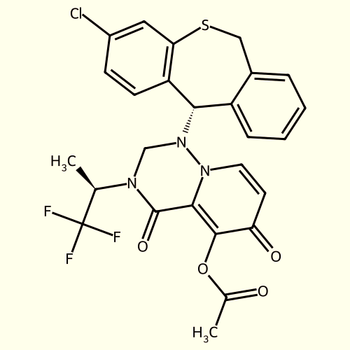 CC(=O)Oc1c2n(ccc1=O)N([C@H]1c3ccccc3CSc3cc(Cl)ccc31)CN([C@H](C)C(F)(F)F)C2=O